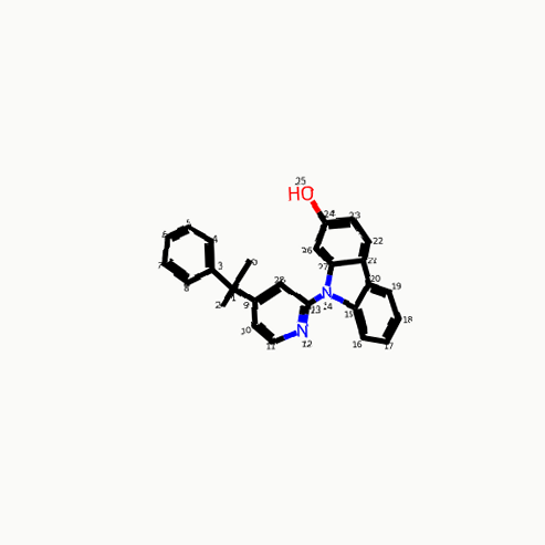 CC(C)(c1ccccc1)c1ccnc(-n2c3ccccc3c3ccc(O)cc32)c1